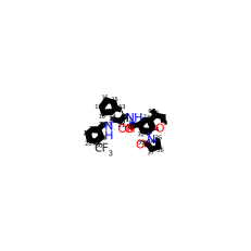 CC1CCOc2c1cc(C(=O)N[C@@H](Cc1ccccc1)[C@H](O)CNCc1cccc(C(F)(F)F)c1)cc2N1CCCC1=O